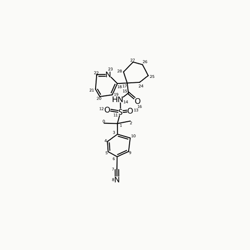 CC(C)(c1ccc(C#N)cc1)S(=O)(=O)NC(=O)C1(c2ccccn2)CCCCC1